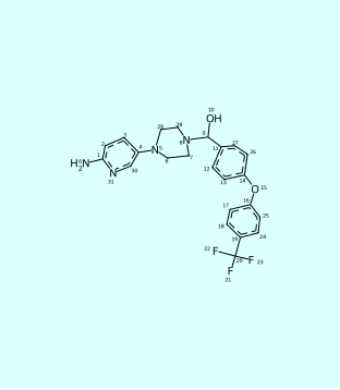 Nc1ccc(N2CCN(C(O)c3ccc(Oc4ccc(C(F)(F)F)cc4)cc3)CC2)cn1